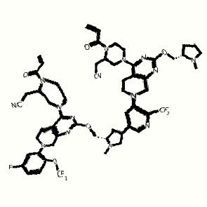 C=CC(=O)N1CCN(c2nc(OC[C@@H]3CC(c4cnc(C(F)(F)F)c(N5CCc6c(nc(OC[C@@H]7CCCN7C)nc6N6CCN(C(=O)C=C)C(CC#N)C6)C5)c4)CN3C)nc3c2CCN(c2cc(F)ccc2OC(F)(F)F)C3)CC1CC#N